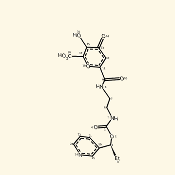 CC[C@H](OC(=O)NCCNC(=O)c1cc(=O)c(O)c(C(=O)O)o1)c1cccnc1